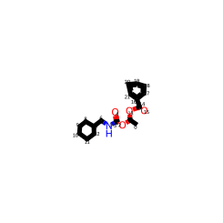 CC(OC(=O)NCC1CCCCC1)OC(=O)c1ccccc1